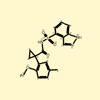 Cc1ccc(OC(C)C)c(C2(C(=O)NS(=O)(=O)c3cccc4[nH]ncc34)CC2)c1